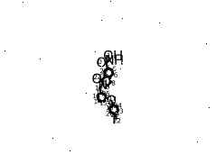 O=C(NO)c1ccc2ccn(Cc3cccc(Oc4ccc(F)cc4)c3)c(=O)c2c1